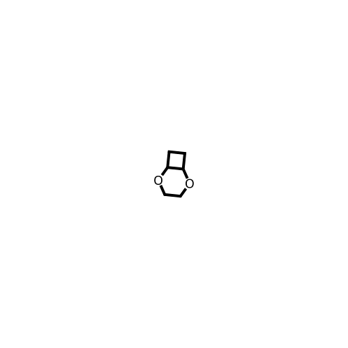 C1COC2CCC2O1